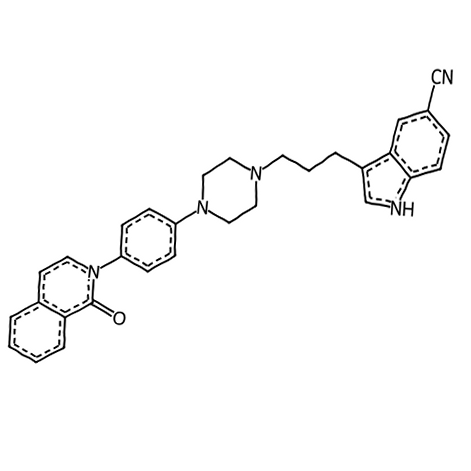 N#Cc1ccc2[nH]cc(CCCN3CCN(c4ccc(-n5ccc6ccccc6c5=O)cc4)CC3)c2c1